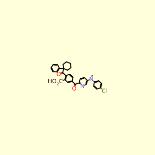 CN(c1ccc(Cl)cc1)c1ccc(C(=O)c2ccc(C(=O)C3(c4ccccc4)CCCCC3)c(C(=O)O)c2)nc1